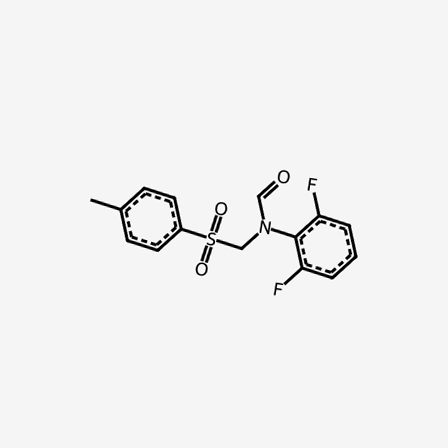 Cc1ccc(S(=O)(=O)CN(C=O)c2c(F)cccc2F)cc1